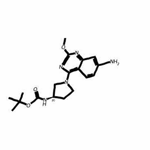 COc1nc(N2CC[C@@H](NC(=O)OC(C)(C)C)C2)c2ccc(N)cc2n1